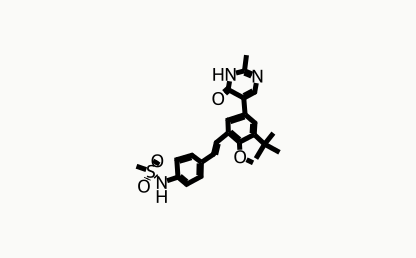 COc1c(/C=C/c2ccc(NS(C)(=O)=O)cc2)cc(-c2cnc(C)[nH]c2=O)cc1C(C)(C)C